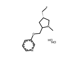 CN1C[C@@H](CF)CC1COc1cccnc1.Cl.Cl